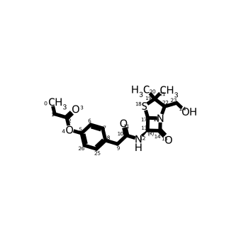 CCC(=O)Oc1ccc(CC(=O)N[C@@H]2C(=O)N3C2SC(C)(C)C3CO)cc1